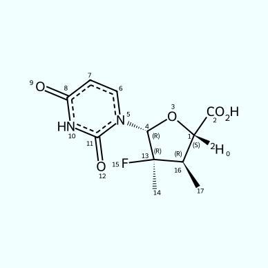 [2H][C@]1(C(=O)O)O[C@@H](n2ccc(=O)[nH]c2=O)[C@](C)(F)[C@@H]1C